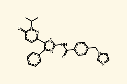 CC(C)n1nc(-c2sc(NC(=O)c3ccc(Cn4ccnc4)cc3)nc2-c2ccccc2)ccc1=O